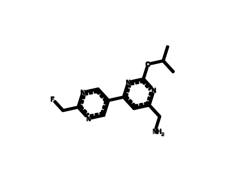 CC(C)Oc1nc(CN)cc(-c2cnc(CF)nc2)n1